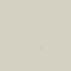 C=C.c1ccc(Sc2ccccc2)cc1